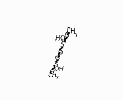 CCOCC(O)CSCCOCCOCCSCC(O)COCC